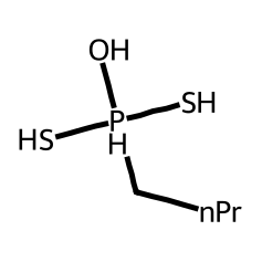 CCCC[PH](O)(S)S